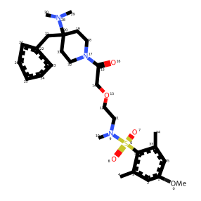 COc1cc(C)c(S(=O)(=O)N(C)CCOCC(=O)N2CCC(Cc3ccccc3)(N(C)C)CC2)c(C)c1